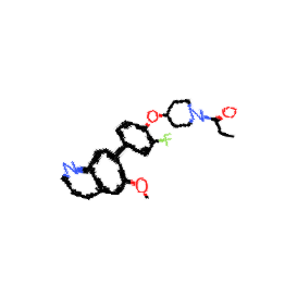 CCC(=O)N1CCC(Oc2ccc(-c3cc4ncccc4cc3OC)cc2F)CC1